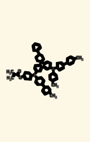 C=C(C)C(=O)Oc1ccc(N(c2ccc(-c3ccc(C)cc3)cc2)c2ccc(C3(c4ccc(N(c5ccc(C)cc5)c5ccc(-c6ccc(C)cc6)cc5)cc4)CCC(c4ccccc4)CC3)cc2)cc1